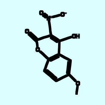 COc1ccc2oc(=O)c([N+](=O)[O-])c(O)c2c1